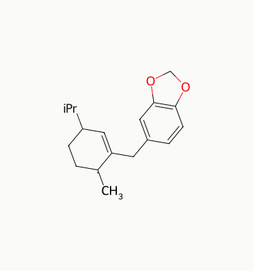 C[C]1CCC(C(C)C)C=C1Cc1ccc2c(c1)OCO2